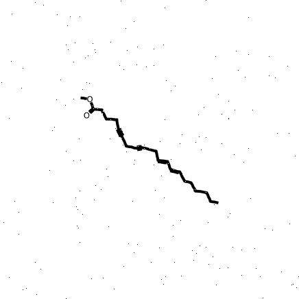 CCCCCCC=CC=CCC#CCC#CCCCC(=O)OC